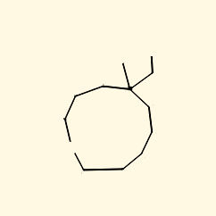 CC1(CBr)CCCCCCCCC1